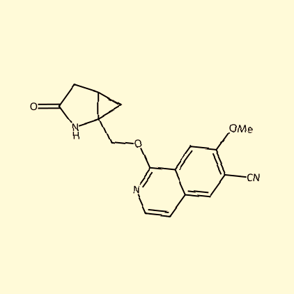 COc1cc2c(OCC34CC3CC(=O)N4)nccc2cc1C#N